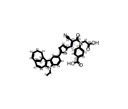 CCn1c2c(c3cc(-c4ccc(/C=C(\C#N)C(=O)N(CC(=O)O)c5ccc(C(=O)O)cc5)s4)ccc31)C1C=C(C=CCC1)C=C2